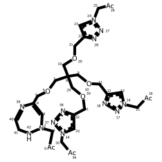 CC(=O)CN1C=C(COCC(COCc2cn(CC(C)=O)nn2)(COCc2cn(CC(C)=O)nn2)COCc2cn(CC(C)=O)nn2)N=CCN1